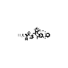 CC=C(C#N)C(=O)N1CCC[C@H]1Cn1nc(-c2ccc(Oc3ccccc3)cc2F)c2c(N)ncnc21